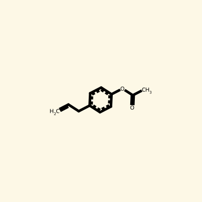 C=CCc1ccc(OC(C)=O)cc1